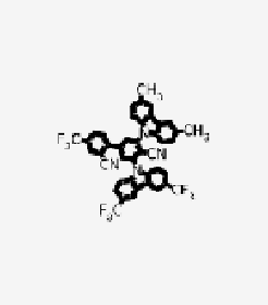 Cc1ccc2c(c1)c1cc(C)ccc1n2-c1cc(-c2ccc(C(F)(F)F)cc2C#N)cc(-n2c3ccc(C(F)(F)F)cc3c3cc(C(F)(F)F)ccc32)c1C#N